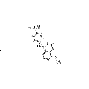 COc1cccc2c(Nc3ccc([SH](=N)=O)cc3)ccnc12